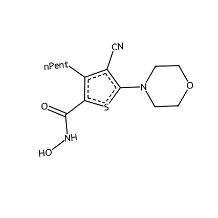 CCCCCc1c(C(=O)NO)sc(N2CCOCC2)c1C#N